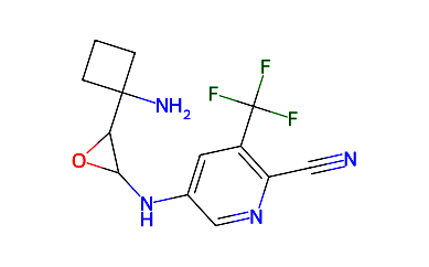 N#Cc1ncc(NC2OC2C2(N)CCC2)cc1C(F)(F)F